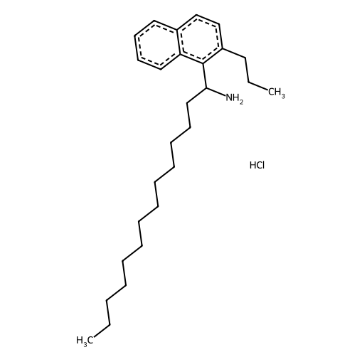 CCCCCCCCCCCCCC(N)c1c(CCC)ccc2ccccc12.Cl